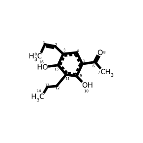 C/C=C\c1cc(C(C)=O)c(O)c(CCC)c1O